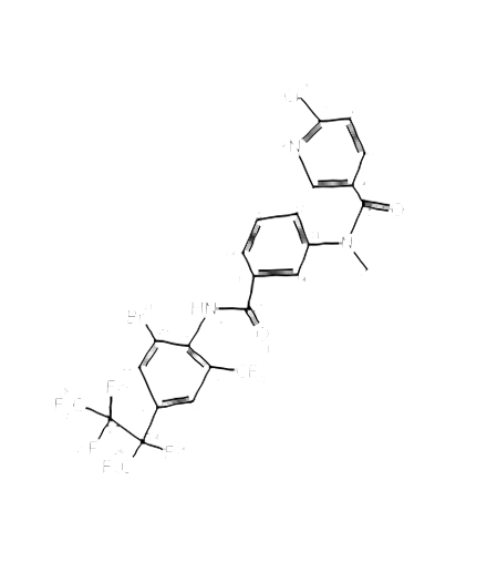 CN(C(=O)c1ccc(Cl)nc1)c1cccc(C(=O)Nc2c(Br)cc(C(F)(C(F)(F)F)C(F)(F)C(F)(F)F)cc2C(F)(F)F)c1